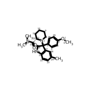 COc1ccc(C2(N3CCCC[C@H]3C(=O)N(C)C)C(=O)Nc3ccc(C)cc32)cc1